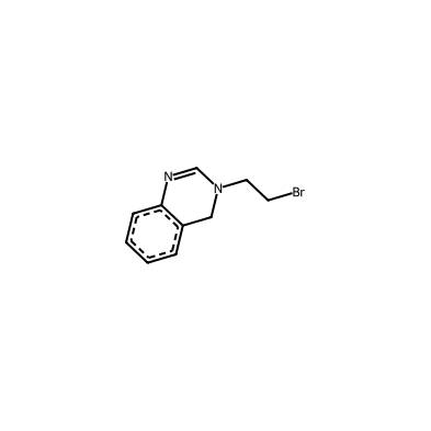 BrCCN1C=Nc2ccccc2C1